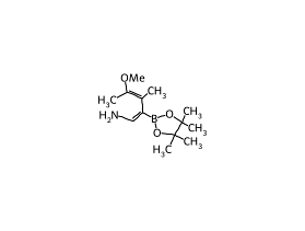 CO/C(C)=C(C)/C(=C\N)B1OC(C)(C)C(C)(C)O1